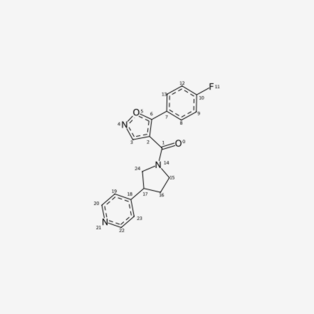 O=C(c1cnoc1-c1ccc(F)cc1)N1CCC(c2ccncc2)C1